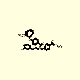 COC(=O)c1ccc(CN(CCCc2cccc(F)c2)C(=O)c2ccc(Oc3ccccc3OC)cc2)cc1